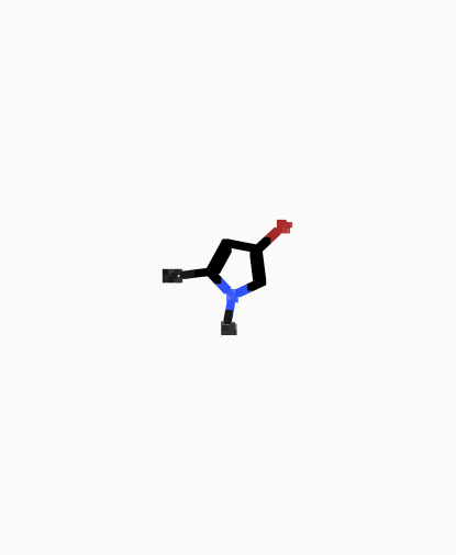 CCn1cc(Br)cc1C#N